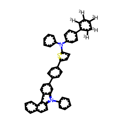 [2H]c1c([2H])c([2H])c(-c2ccc(N(c3ccccc3)c3ccc(-c4ccc(-c5ccc6c7c8ccccc8ccc7n(-c7ccccc7)c6c5)cc4)s3)cc2)c([2H])c1[2H]